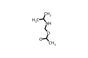 CC(C)NCOC(C)[O]